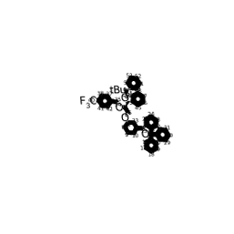 CC(C)(C)[Si](OC[C@@H](COC1CCCC(COC(c2ccccc2)(c2ccccc2)c2ccccc2)C1)OCc1ccc(C(F)(F)F)cc1)(c1ccccc1)c1ccccc1